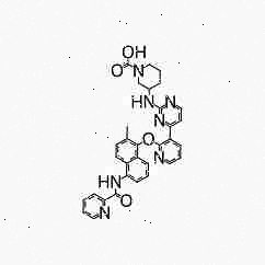 Cc1ccc2c(NC(=O)c3ccccn3)cccc2c1Oc1ncccc1-c1ccnc(NC2CCCN(C(=O)O)C2)n1